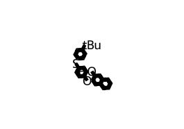 CC(C)(C)c1ccc(Sc2ccc(Oc3cc4ccccc4cc3O)cc2)cc1